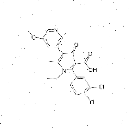 CCn1c(C)c(-c2cncc(OC)c2)c(=O)c(C(=O)O)c1-c1ccc(Cl)c(Cl)c1